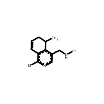 CCNCc1cnc(CC)c2c1C(C)CC=C2